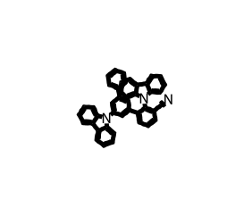 N#Cc1cccc(-c2cc(-c3ccccc3)cc(-n3c4ccccc4c4ccccc43)c2)c1-n1c2ccccc2c2ccccc21